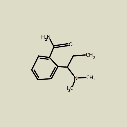 CCC(c1ccccc1C(N)=O)N(C)C